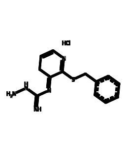 Cl.N=C(N=C1CC=CN=C1SCc1ccccc1)NN